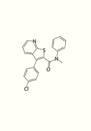 CN(C(=O)c1sc2ncccc2c1-c1ccc(Cl)cc1)c1ccccc1